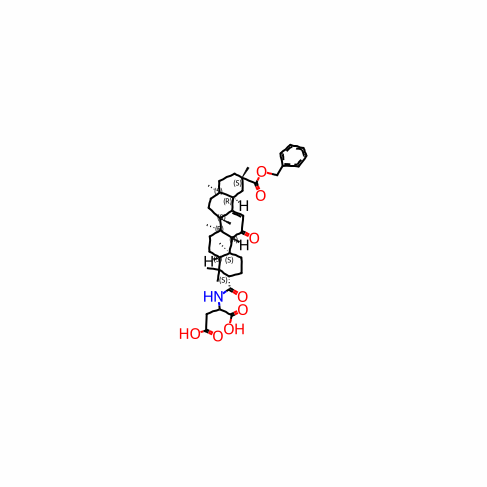 CC1(C)[C@@H](C(=O)NC(CC(=O)O)C(=O)O)CC[C@]2(C)[C@H]3C(=O)C=C4[C@@H]5C[C@@](C)(C(=O)OCc6ccccc6)CC[C@]5(C)CC[C@@]4(C)[C@]3(C)CC[C@@H]12